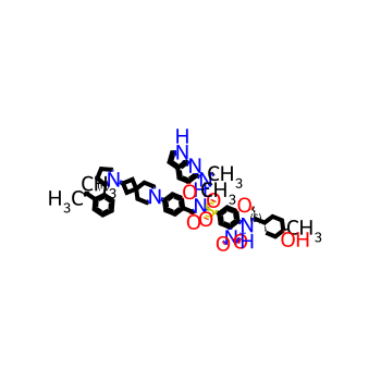 CC(C)c1ccccc1[C@H]1CCCN1C1CC2(CCN(c3ccc(C(=O)NS(=O)(=O)c4cc5c(c([N+](=O)[O-])c4)N[C@@H]([C@H]4CC[C@](C)(O)CC4)CO5)c(Oc4cc5cc[nH]c5nc4N(C)C)c3)CC2)C1